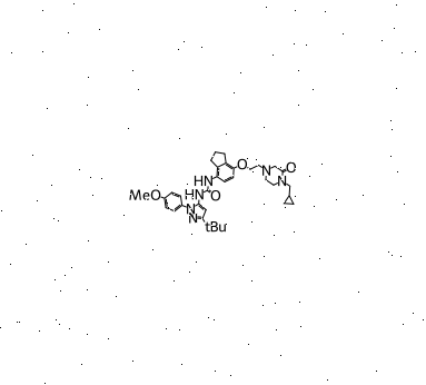 COc1ccc(-n2nc(C(C)(C)C)cc2NC(=O)Nc2ccc(OCCN3CCN(CC4CC4)C(=O)C3)c3c2CCC3)cc1